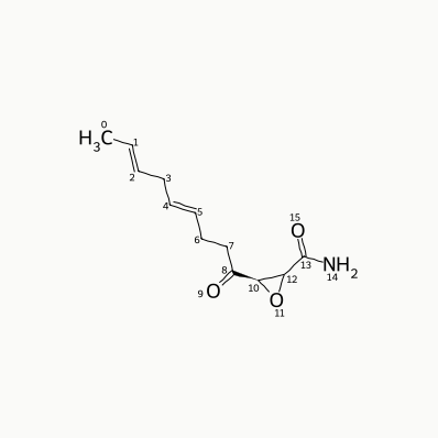 CC=CCC=CCCC(=O)[C@@H]1OC1C(N)=O